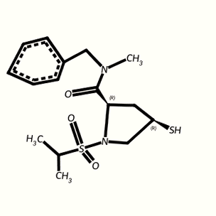 CC(C)S(=O)(=O)N1C[C@H](S)C[C@@H]1C(=O)N(C)Cc1ccccc1